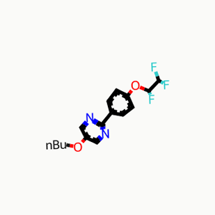 CCCCOc1cnc(-c2ccc(OC(F)C(F)F)cc2)nc1